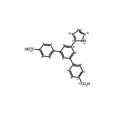 O=C(O)c1ccc(-c2cc(-c3ccc(C(=O)O)cc3)cc(-c3nnn[nH]3)c2)cc1